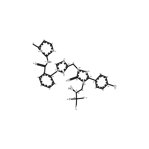 Cc1ccnc(NC(=O)c2ccccc2-n2cnc(Cn3nc(-c4ccc(Cl)cc4)n(C[C@H](O)C(F)(F)F)c3=O)n2)n1